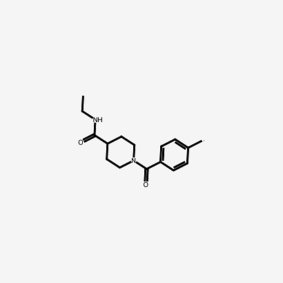 [CH2]c1ccc(C(=O)N2CCC(C(=O)NCC)CC2)cc1